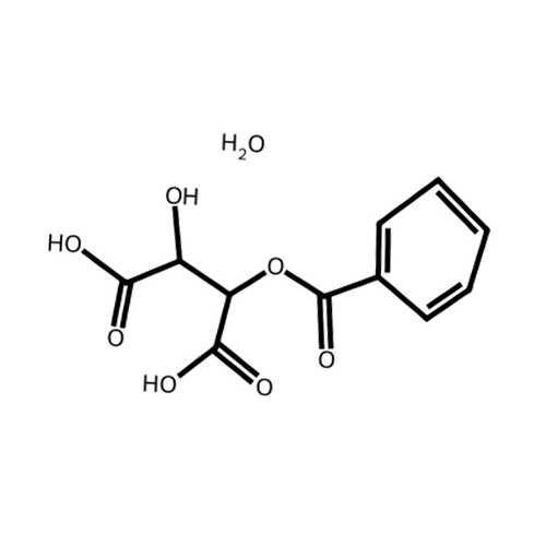 O.O=C(OC(C(=O)O)C(O)C(=O)O)c1ccccc1